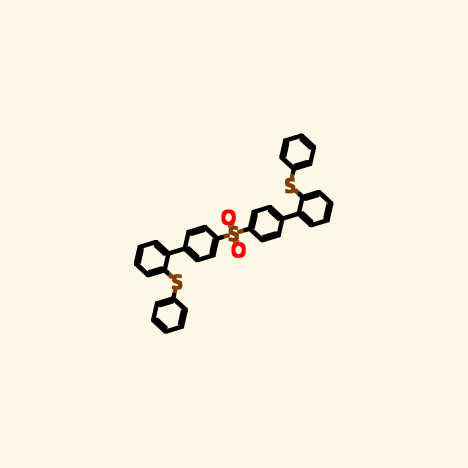 O=S(=O)(c1ccc(-c2ccccc2Sc2ccccc2)cc1)c1ccc(-c2ccccc2Sc2ccccc2)cc1